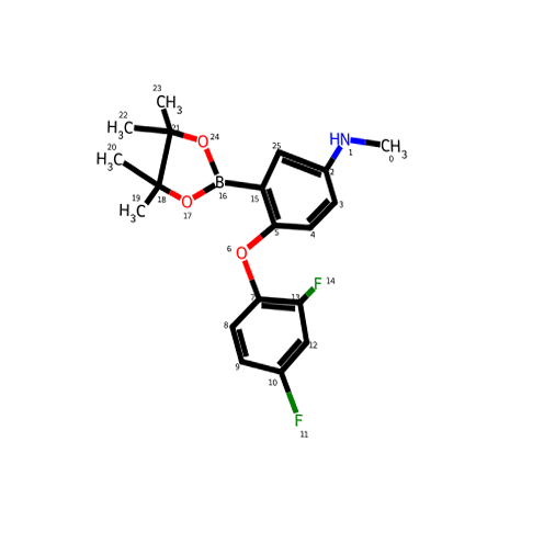 CNc1ccc(Oc2ccc(F)cc2F)c(B2OC(C)(C)C(C)(C)O2)c1